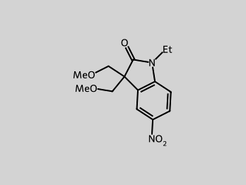 CCN1C(=O)C(COC)(COC)c2cc([N+](=O)[O-])ccc21